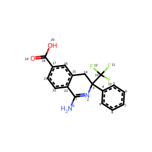 NC1=NC(c2ccccc2)(C(F)(F)F)Cc2cc(C(=O)O)ccc21